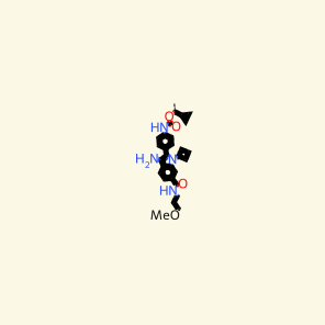 COCCCNC(=O)c1ccc2c(N)c(-c3ccc(NC(=O)O[C@H](C)C4CC4)cc3)n(C3CCC3)c2c1